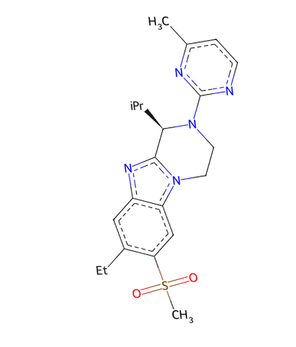 CCc1cc2nc3n(c2cc1S(C)(=O)=O)CCN(c1nccc(C)n1)[C@@H]3C(C)C